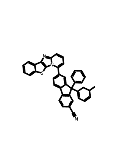 CC1C=CC=C(C2(c3ccccc3)c3cc(C#N)ccc3-c3ccc(-c4cccc5nc6c7ccccc7sc6n45)cc32)C1